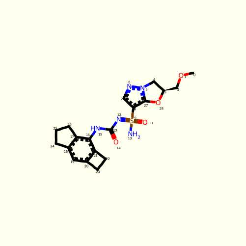 COC[C@@H]1Cn2ncc(S(N)(=O)=NC(=O)Nc3c4c(cc5c3CC5)CCC4)c2O1